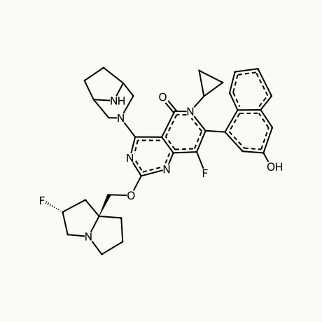 O=c1c2c(N3CC4CCC(C3)N4)nc(OC[C@@]34CCCN3C[C@H](F)C4)nc2c(F)c(-c2cc(O)cc3ccccc23)n1C1CC1